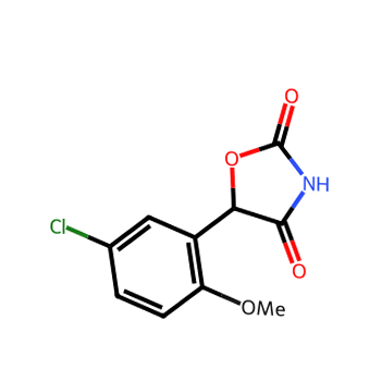 COc1ccc(Cl)cc1C1OC(=O)NC1=O